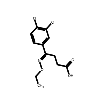 CCO/N=C(\CCC(=O)O)c1ccc(Cl)c(Cl)c1